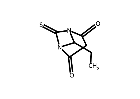 CCC1N2C(=O)CC(=O)N1C2=S